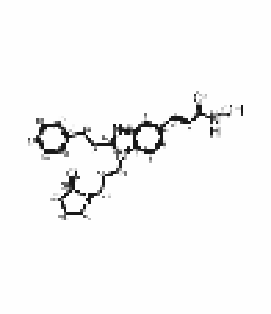 O=C(C=Cc1ccc2c(c1)nc(CCc1ccccc1)n2CCCN1CCCC1=O)NO